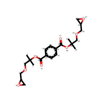 CC(C)(COCC1CO1)OC(=O)c1ccc(C(=O)OC(C)(C)COCC2CO2)cc1